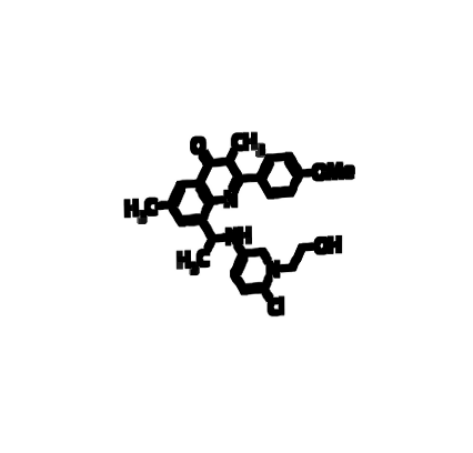 COc1ccc(C2=Nc3c(cc(C)cc3C(C)NC3=CC=C(Cl)N(CCO)C3)C(=O)C2C)cc1